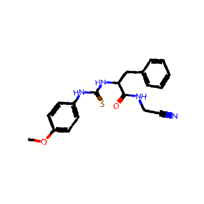 COc1ccc(NC(=S)NC(Cc2ccccc2)C(=O)NCC#N)cc1